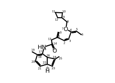 C=C(/C=C\C(=C/C)OCC1CCC1)CC(=O)NC1=C(C)C=C[C@@H]2C=C(C)C12